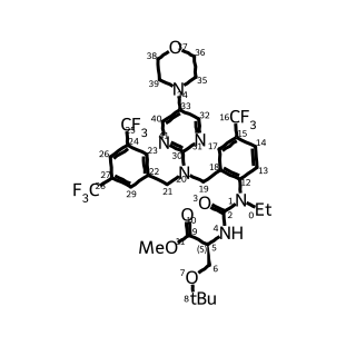 CCN(C(=O)N[C@@H](COC(C)(C)C)C(=O)OC)c1ccc(C(F)(F)F)cc1CN(Cc1cc(C(F)(F)F)cc(C(F)(F)F)c1)c1ncc(N2CCOCC2)cn1